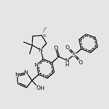 C[C@@H]1CN(c2nc(C3(O)C=CN=N3)ccc2C(=O)NS(=O)(=O)c2ccccc2)C(C)(C)C1